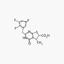 CC1c2c(nc(Cc3cc(F)cc(F)c3F)[nH]c2=O)SC1C(=O)O